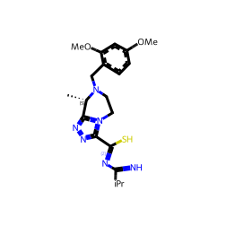 COc1ccc(CN2CCn3c(/C(S)=N/C(=N)C(C)C)nnc3[C@@H]2C)c(OC)c1